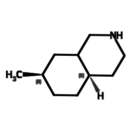 C[C@@H]1CC[C@@H]2CCNCC2C1